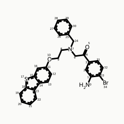 Nc1cc(C(=O)CN(CCOc2ccc3c(c2)sc2ccccc23)Cc2ccccc2)ccc1Br